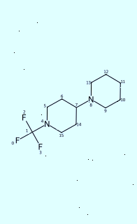 FC(F)(F)N1CCC(N2CCCCC2)CC1